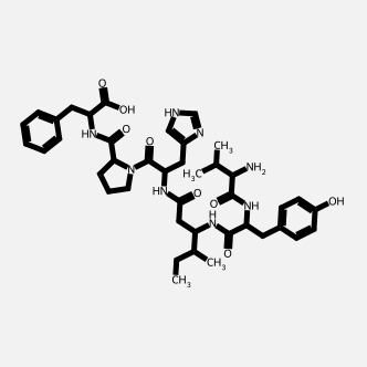 CCC(C)C(CC(=O)NC(Cc1c[nH]cn1)C(=O)N1CCCC1C(=O)NC(Cc1ccccc1)C(=O)O)NC(=O)C(Cc1ccc(O)cc1)NC(=O)C(N)C(C)C